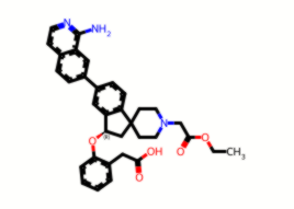 CCOC(=O)CN1CCC2(CC1)C[C@@H](Oc1ccccc1CC(=O)O)c1cc(-c3ccc4ccnc(N)c4c3)ccc12